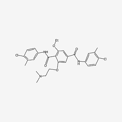 CCOc1cc(C(=O)Nc2ccc(Cl)c(C)c2)cc(OCCN(C)C)c1C(=O)Nc1ccc(Cl)c(C)c1